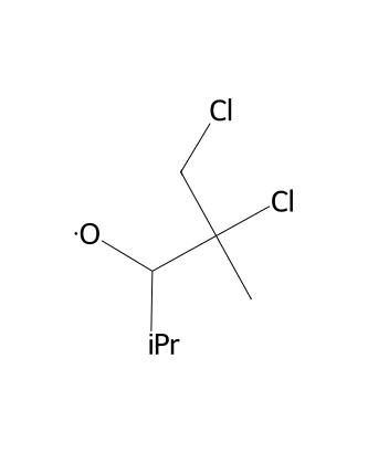 CC(C)C([O])C(C)(Cl)CCl